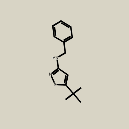 CC(C)(C)c1cc(NCc2ccccc2)ns1